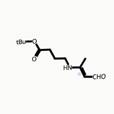 C/C(=C\C=O)NCCCC(=O)OC(C)(C)C